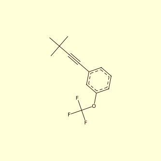 CC(C)(C)C#Cc1cccc(OC(F)(F)F)c1